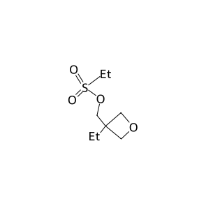 CCC1(COS(=O)(=O)CC)COC1